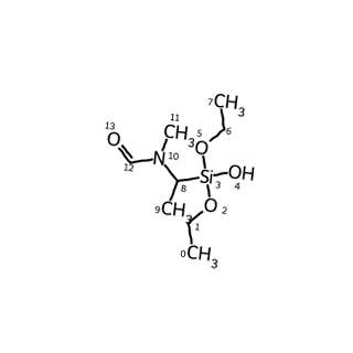 CCO[Si](O)(OCC)C(C)N(C)C=O